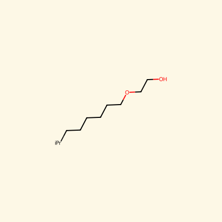 CC(C)CCCCCCOCCO